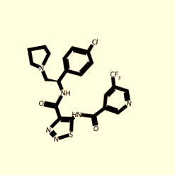 O=C(Nc1snnc1C(=O)N[C@@H](CN1CCCC1)c1ccc(Cl)cc1)c1cncc(C(F)(F)F)c1